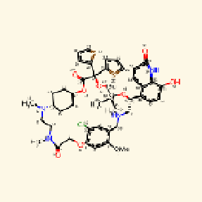 COc1cc(OCC(=O)N(C)CCN(C)[C@H]2CC[C@H](OC(=O)C(O)(c3cccs3)c3cccs3)CC2)c(Cl)cc1CNC[C@H](O[Si](C)(C)C(C)(C)C)c1ccc(O)c2[nH]c(=O)ccc12